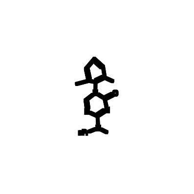 CCCN(C)c1ncn(-c2c(C)cccc2C)c(=O)n1